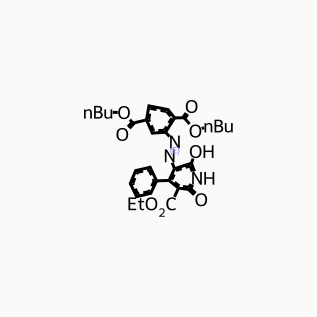 CCCCOC(=O)c1ccc(C(=O)OCCCC)c(/N=N/c2c(O)[nH]c(=O)c(C(=O)OCC)c2-c2ccccc2)c1